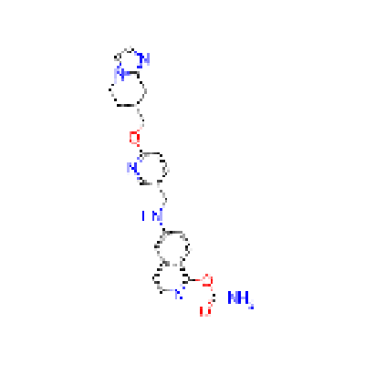 NC(=O)Oc1nccc2cc(NCc3ccc(OCC4CCn5ccnc5C4)nc3)ccc12